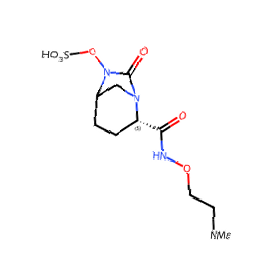 CNCCONC(=O)[C@@H]1CCC2CN1C(=O)N2OS(=O)(=O)O